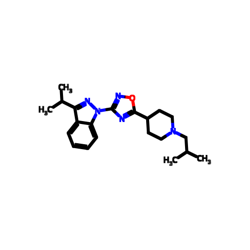 CC(C)CN1CCC(c2nc(-n3nc(C(C)C)c4ccccc43)no2)CC1